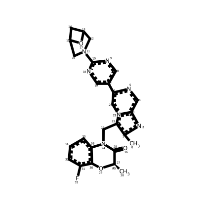 Cc1nc2cnc(-c3cnc(N4CC5CC(C4)O5)nc3)cn2c1CN1C(=O)[C@@H](C)Oc2c(F)cccc21